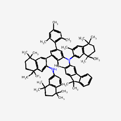 Cc1cc(C)c(-c2cc(-c3cc4c(cc3Nc3ccc5c(c3)C(C)(C)CCC5(C)C)C(C)(C)CCC4(C)C)c3c(c2)N(c2cc4c(cc2C)C(C)(C)CCC4(C)C)c2cc4c(cc2B3)C(C)(C)c2ccccc2-4)c(C)c1